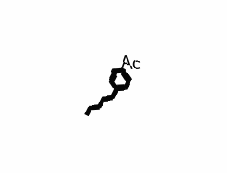 C/C=C/C=C/c1ccc(C(C)=O)cc1